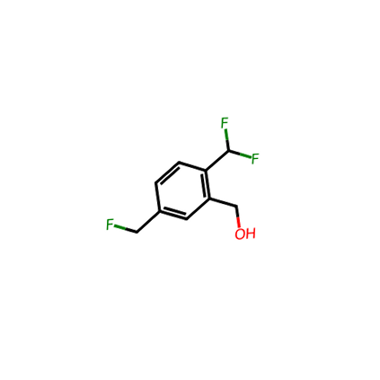 OCc1cc(CF)ccc1C(F)F